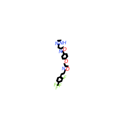 Fc1cc(C(F)(F)F)ccc1C=Cc1nc(COc2ccc(-c3nc(Cc4ncc[nH]4)co3)cc2)co1